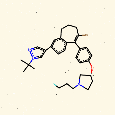 CC(C)(C)n1cc(-c2ccc3c(c2)CCCC(Br)=C3c2ccc(O[C@H]3CCN(CCCF)C3)cc2)cn1